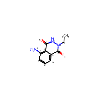 CCn1[nH]c(=O)c2c(N)cccc2c1=O